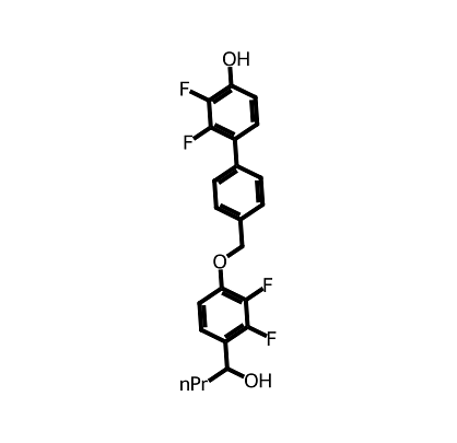 CCCC(O)c1ccc(OCc2ccc(-c3ccc(O)c(F)c3F)cc2)c(F)c1F